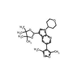 Cc1noc(C)c1-c1cnc2c(c1)c(B1OC(C)(C)C(C)(C)O1)cn2C1CCOCC1